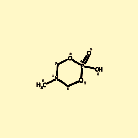 CN1COP(=O)(O)OC1